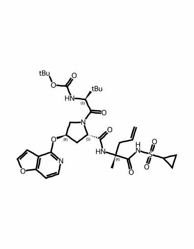 C=CC[C@@](C)(NC(=O)[C@@H]1C[C@@H](Oc2nccc3occc23)CN1C(=O)[C@@H](NC(=O)OC(C)(C)C)C(C)(C)C)C(=O)NS(=O)(=O)C1CC1